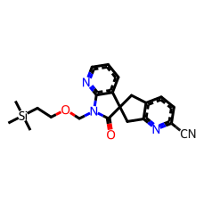 C[Si](C)(C)CCOCN1C(=O)C2(Cc3ccc(C#N)nc3C2)c2cccnc21